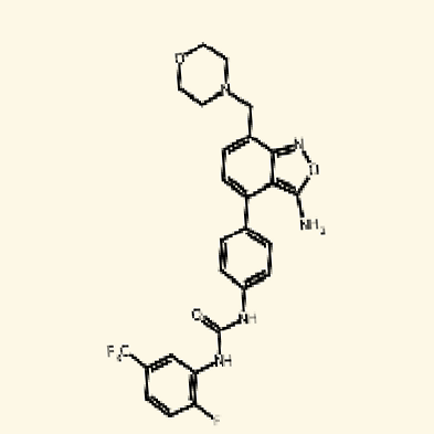 Nc1onc2c(CN3CCOCC3)ccc(-c3ccc(NC(=O)Nc4cc(C(F)(F)F)ccc4F)cc3)c12